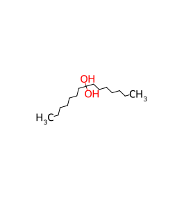 CCCCCCCC(O)(O)CCCCCCC